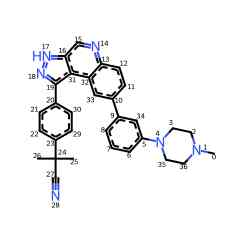 CN1CCN(c2cccc(-c3ccc4ncc5[nH]nc(-c6ccc(C(C)(C)C#N)cc6)c5c4c3)c2)CC1